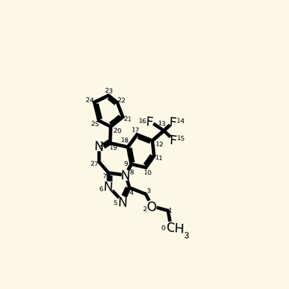 CCOCc1nnc2n1-c1ccc(C(F)(F)F)cc1C(c1ccccc1)=NC2